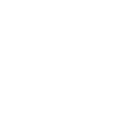 CCOC(=O)C=Cc1cc2c(s1)C(=O)c1ccccc1CC2